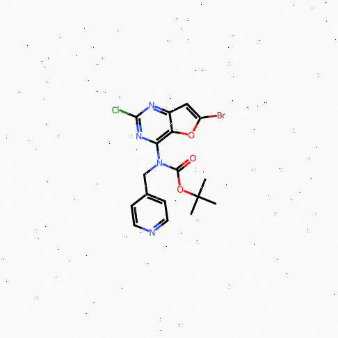 CC(C)(C)OC(=O)N(Cc1ccncc1)c1nc(Cl)nc2cc(Br)oc12